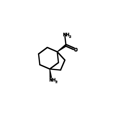 NC(=O)[C@@]12CCC[C@@](N)(CC1)C2